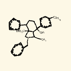 Cc1ccc(C2(O)CCC(c3ccccc3)C3(C(=O)O)CN(Cc4ccccc4)C(C)C23)cc1